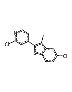 Cc1c(-c2ccnc(Cl)c2)sc2ccc(Cl)cc12